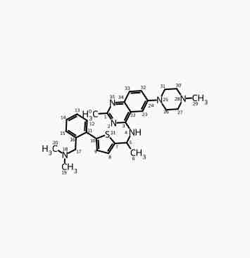 Cc1nc(NC(C)c2ccc(-c3ccccc3CN(C)C)s2)c2cc(N3CCN(C)CC3)ccc2n1